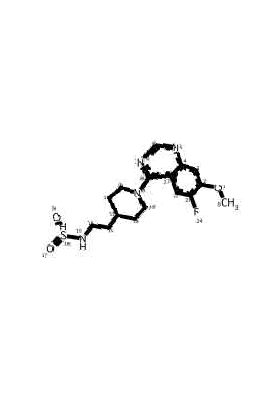 COc1cc2ncnc(N3CCC(CCN[SH](=O)=O)CC3)c2cc1F